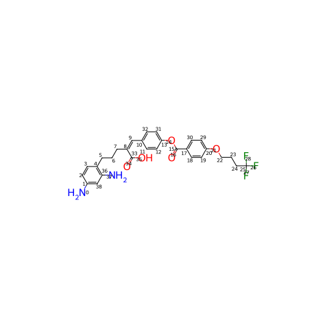 Nc1ccc(CCCC(=Cc2ccc(OC(=O)c3ccc(OCCCC(F)(F)F)cc3)cc2)C(=O)O)c(N)c1